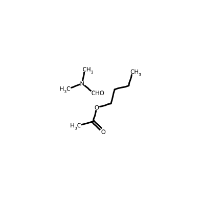 CCCCOC(C)=O.CN(C)C=O